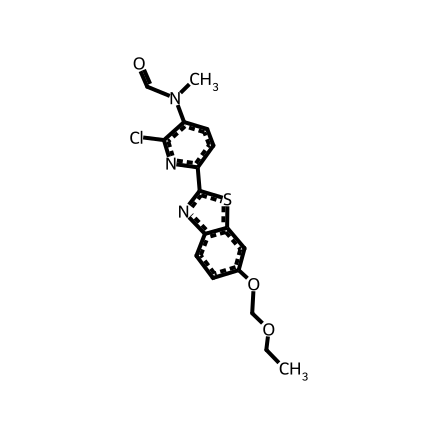 CCOCOc1ccc2nc(-c3ccc(N(C)C=O)c(Cl)n3)sc2c1